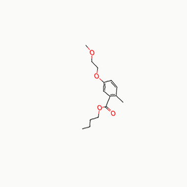 CCCCOC(=O)c1cc(OCCOC)ccc1C